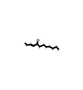 CC/C=C/C(Br)CCCCCCC